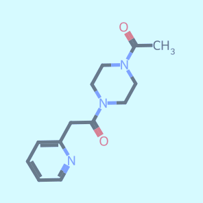 CC(=O)N1CCN(C(=O)Cc2ccccn2)CC1